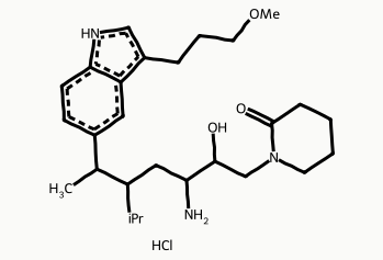 COCCCc1c[nH]c2ccc(C(C)C(CC(N)C(O)CN3CCCCC3=O)C(C)C)cc12.Cl